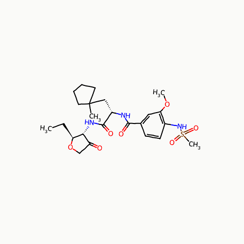 CC[C@@H]1OCC(=O)[C@H]1NC(=O)[C@H](CC1(C)CCCC1)NC(=O)c1ccc(NS(C)(=O)=O)c(OC)c1